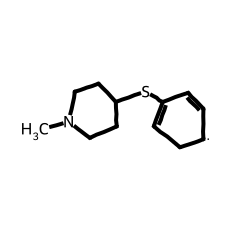 CN1CCC(SC2=CC[CH]C=C2)CC1